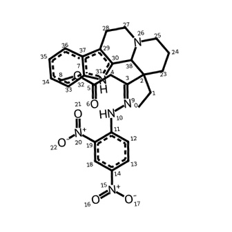 CCC1(C(CC(=O)OC)=NNc2ccc([N+](=O)[O-])cc2[N+](=O)[O-])CCCN2CCc3c([nH]c4ccccc34)C21